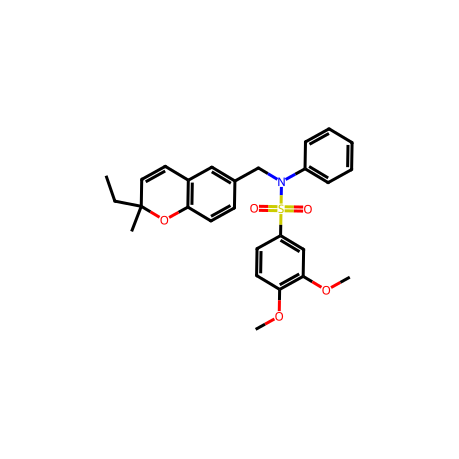 CCC1(C)C=Cc2cc(CN(c3ccccc3)S(=O)(=O)c3ccc(OC)c(OC)c3)ccc2O1